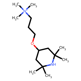 CC1(C)CC(OCCC[N+](C)(C)C)CC(C)(C)N1